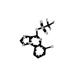 O=S(=O)(Oc1nc2c(Cl)cccc2n2ncnc12)C(F)(F)F